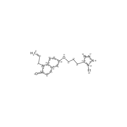 C=CCn1c(=O)ccc2cc(OCCCc3nnnn3CC)ccc21